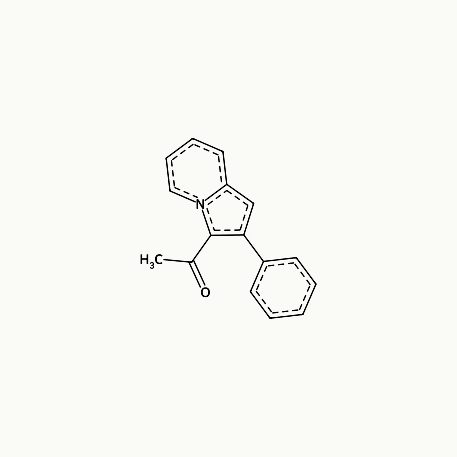 CC(=O)c1c(-c2ccccc2)cc2ccccn12